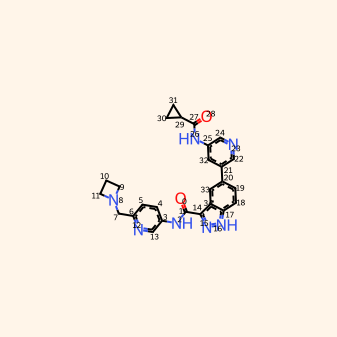 O=C(Nc1ccc(CN2CCC2)nc1)c1n[nH]c2ccc(-c3cncc(NC(=O)C4CC4)c3)cc12